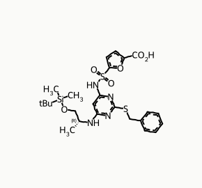 C[C@H](CO[Si](C)(C)C(C)(C)C)Nc1cc(NS(=O)(=O)c2ccc(C(=O)O)o2)nc(SCc2ccccc2)n1